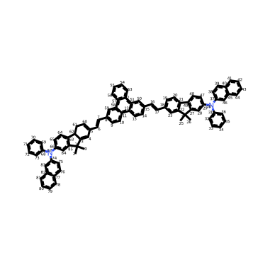 CC1(C)C2=CC(/C=C/c3ccc4c5ccc(/C=C/c6ccc7c(c6)C(C)(C)c6cc(N(c8ccccc8)c8ccc9ccccc9c8)ccc6-7)cc5c5ccccc5c4c3)=CCC2c2ccc(N(c3ccccc3)c3ccc4ccccc4c3)cc21